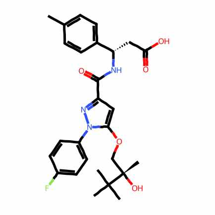 Cc1ccc([C@H](CC(=O)O)NC(=O)c2cc(OC[C@](C)(O)C(C)(C)C)n(-c3ccc(F)cc3)n2)cc1